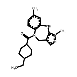 CCC1CCC(C(=O)N2Cc3cnn(C)c3Nc3cc(C)ccc32)CC1